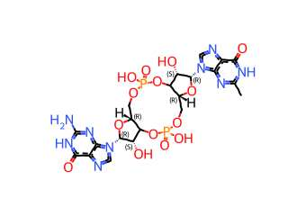 Cc1nc2c(ncn2[C@@H]2O[C@@H]3COP(=O)(O)OC4[C@@H](COP(=O)(O)OC3[C@@H]2O)O[C@@H](n2cnc3c(=O)[nH]c(N)nc32)[C@H]4O)c(=O)[nH]1